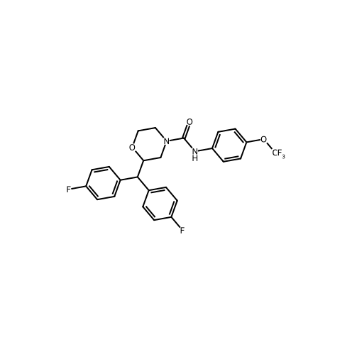 O=C(Nc1ccc(OC(F)(F)F)cc1)N1CCOC(C(c2ccc(F)cc2)c2ccc(F)cc2)C1